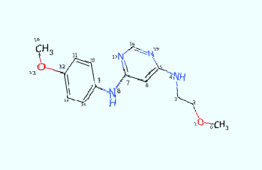 COCCNc1cc(Nc2ccc(OC)cc2)ncn1